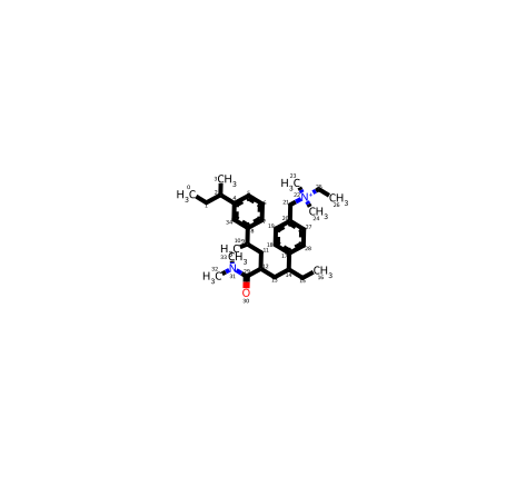 CCC(C)c1cccc(C(C)CC(CC(CC)c2ccc(C[N+](C)(C)CC)cc2)C(=O)N(C)C)c1